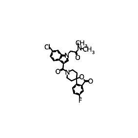 CN(C)C(=O)Cn1cc(C(=O)N2CCC3(CC2)OC(=O)c2cc(F)ccc23)c2ccc(Cl)cc21